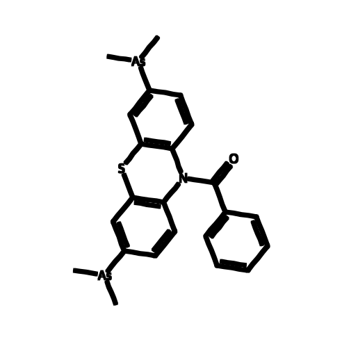 C[As](C)c1ccc2c(c1)Sc1cc([As](C)C)ccc1N2C(=O)c1ccccc1